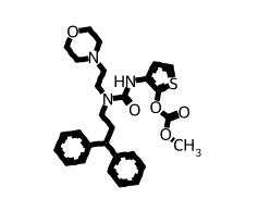 COC(=O)Oc1sccc1NC(=O)N(CCC(c1ccccc1)c1ccccc1)CCN1CCOCC1